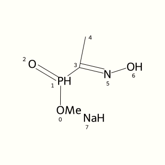 CO[PH](=O)C(C)=NO.[NaH]